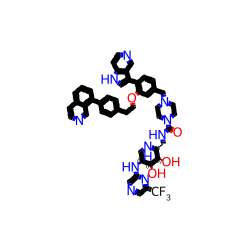 O=C(NC[C@H]1NC[C@H](Nc2cncc(C(F)(F)F)n2)[C@@H](O)[C@H]1O)N1CCN(Cc2ccc(-c3c[nH]c4ccncc34)c(OCCc3ccc(-c4cccc5ccncc45)cc3)c2)CC1